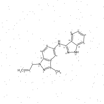 C=CCn1nc(C)c2cc(Nc3n[nH]c4cccnc34)ccc21